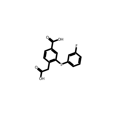 O=C(O)Cc1ccc(C(=O)O)cc1Sc1cccc(F)c1